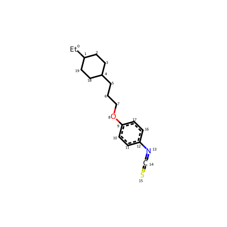 CCC1CCC(CCCOc2ccc(N=C=S)cc2)CC1